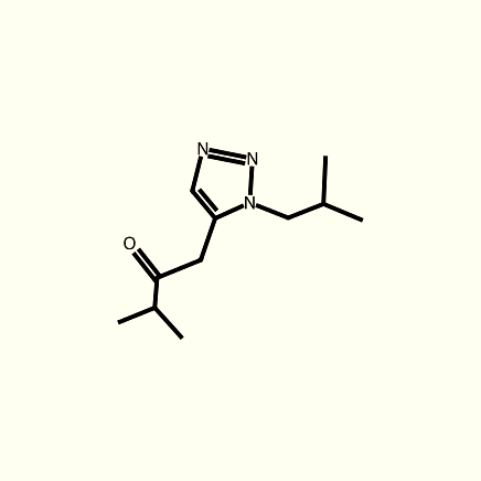 CC(C)Cn1nncc1CC(=O)C(C)C